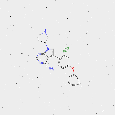 Cl.Cl.Nc1ncnc2c1c(-c1ccc(Oc3ccccc3)cc1)cn2C1CCNC1